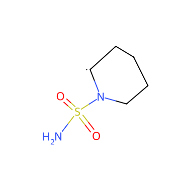 NS(=O)(=O)N1[CH]CCCC1